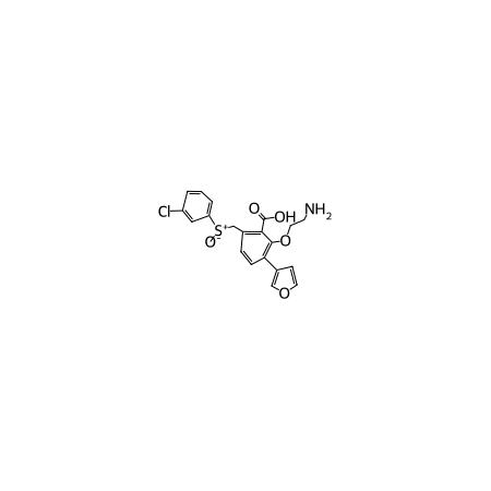 NCCOc1c(-c2ccoc2)ccc(C[S+]([O-])c2cccc(Cl)c2)c1C(=O)O